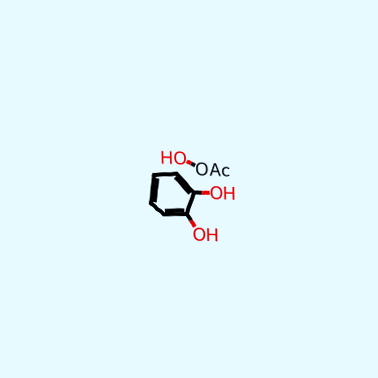 CC(=O)OO.Oc1ccccc1O